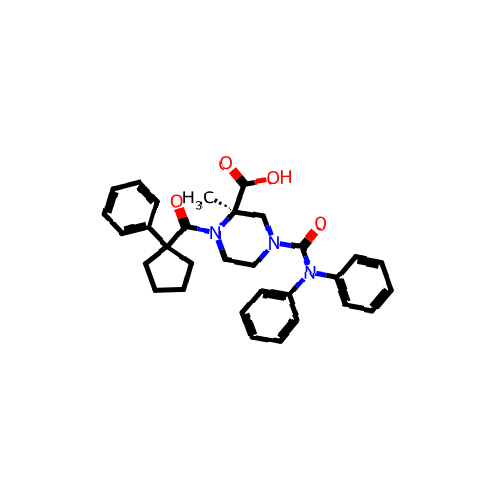 C[C@]1(C(=O)O)CN(C(=O)N(c2ccccc2)c2ccccc2)CCN1C(=O)C1(c2ccccc2)CCCC1